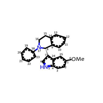 COc1ccc2[nH]cc([C@H]3c4ccccc4CCN3c3ccccc3)c2c1